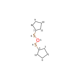 C1CCC(SOSC2CCCC2)C1